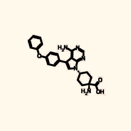 Nc1ncnc2c1c(-c1ccc(Oc3ccccc3)cc1)cn2[C@H]1CC[C@@](N)(C(=O)O)CC1